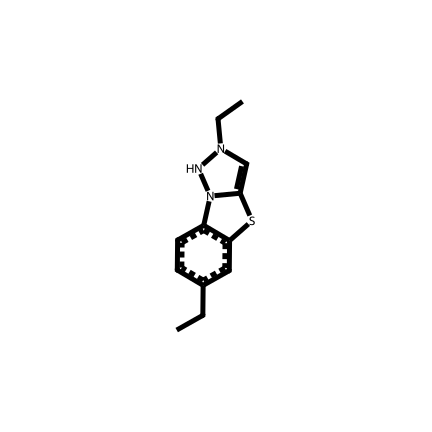 CCc1ccc2c(c1)SC1=CN(CC)NN12